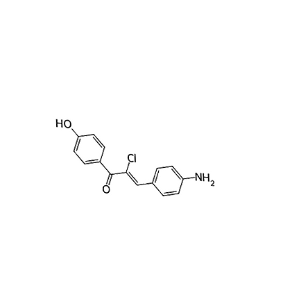 Nc1ccc(C=C(Cl)C(=O)c2ccc(O)cc2)cc1